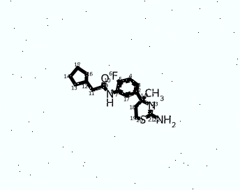 CC1(c2ccc(F)c(NC(=O)CC3CCCC3)c2)CCSC(N)=N1